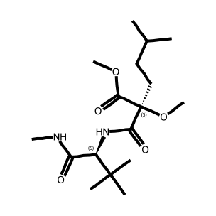 CNC(=O)[C@@H](NC(=O)[C@](CCC(C)C)(OC)C(=O)OC)C(C)(C)C